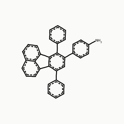 Nc1ccc(-c2cc(-c3ccccc3)c3c(c2-c2ccccc2)-c2cccc4cccc-3c24)cc1